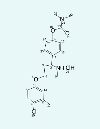 CNC(CCOc1ccc(Cl)c(C)c1)c1ccc(OC(=O)N(C)C)cc1.Cl